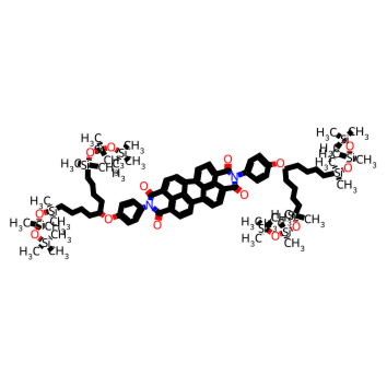 C[Si](C)(C)O[Si](C)(C)O[Si](C)(C)CCCCC(CCCC[Si](C)(C)O[Si](C)(C)O[Si](C)(C)C)Oc1ccc(N2C(=O)c3ccc4c5ccc6c7c(ccc(c8ccc(c3c48)C2=O)c75)C(=O)N(c2ccc(OC(CCCC[Si](C)(C)O[Si](C)(C)O[Si](C)(C)C)CCCC[Si](C)(C)O[Si](C)(C)O[Si](C)(C)C)cc2)C6=O)cc1